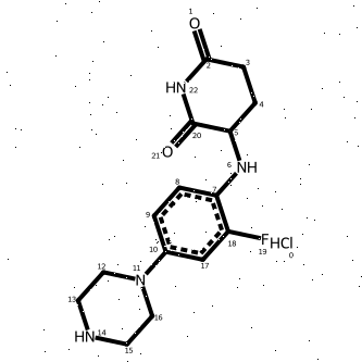 Cl.O=C1CCC(Nc2ccc(N3CCNCC3)cc2F)C(=O)N1